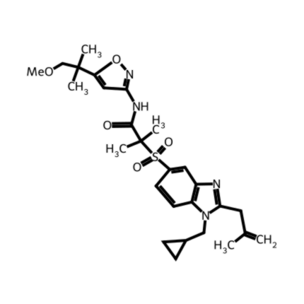 C=C(C)Cc1nc2cc(S(=O)(=O)C(C)(C)C(=O)Nc3cc(C(C)(C)COC)on3)ccc2n1CC1CC1